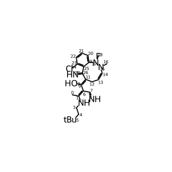 C/C(NCCC(C)(C)C)=C(C=N)\C(O)=C1/C/C=C\N(C)N(F)c2cccc(Cl)c2C1=N